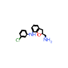 NCC1Cc2cccc(Nc3cccc(Cl)c3)c2O1